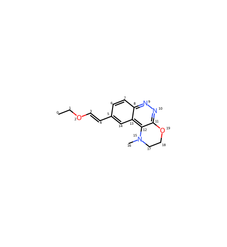 CCO/C=C/c1ccc2nnc3c(c2c1)N(C)CCO3